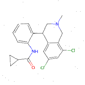 CN1Cc2c(Cl)cc(Cl)cc2C(c2ccccc2NC(=O)C2CC2)C1